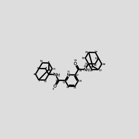 O=C(NC12CC3CC(CC(C3)C1)C2)c1cccc(C(=O)NC23CC4CC(CC(C4)C2)C3)n1